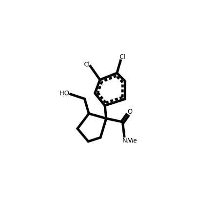 CNC(=O)C1(c2ccc(Cl)c(Cl)c2)CCCC1CO